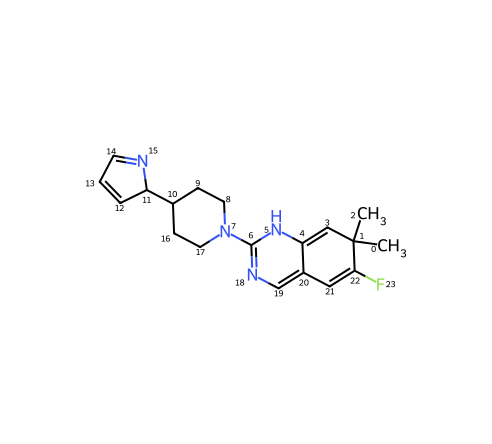 CC1(C)C=C2NC(N3CCC(C4C=CC=N4)CC3)=NC=C2C=C1F